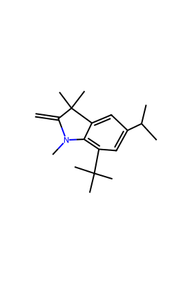 C=C1N(C)c2c(C(C)(C)C)cc(C(C)C)cc2C1(C)C